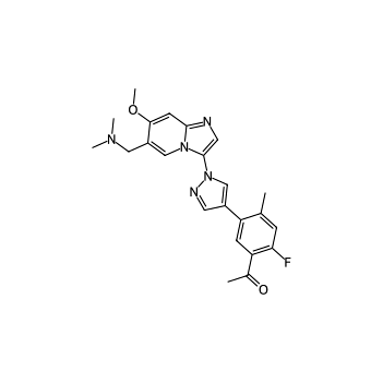 COc1cc2ncc(-n3cc(-c4cc(C(C)=O)c(F)cc4C)cn3)n2cc1CN(C)C